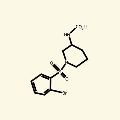 O=C(O)NC1CCCN(S(=O)(=O)c2ccccc2Br)C1